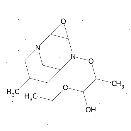 CCOC(O)C(C)ON1C2CC(C)CN(C2)C2OC21